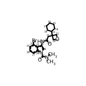 CN(C)C(=O)n1cc(NC(=O)CC2(C3CCCCC3)COC2)c2c(Br)cccc21